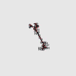 CCC(C)(C)C(=O)C(=O)N1CCCCC1C(=O)OC(CCc1ccc(OC)c(OC)c1)c1cccc(NC(=O)CCC(=O)NCCOCCOCCOCCC(=O)NC[C@H](N)C(=O)N[C@@H](CC(=O)O)C(=O)N[C@@H](CS)C(=O)O)c1